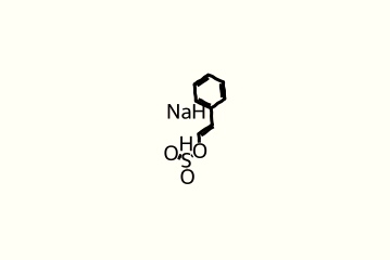 O=[SH](=O)OC=Cc1ccccc1.[NaH]